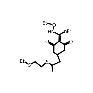 CCCC(NOCC)=C1C(=O)CC(CC(C)SCCSCC)CC1=O